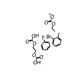 CCOC(=O)OC.Cc1ccccc1Br.Fc1ccccc1.O=C(O)OCCOC(=O)O